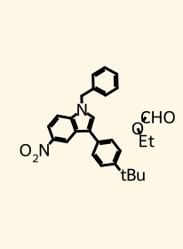 CC(C)(C)c1ccc(-c2cn(Cc3ccccc3)c3ccc([N+](=O)[O-])cc23)cc1.CCOC=O